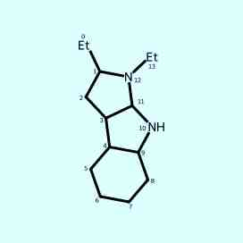 CCC1CC2C3CCCCC3NC2N1CC